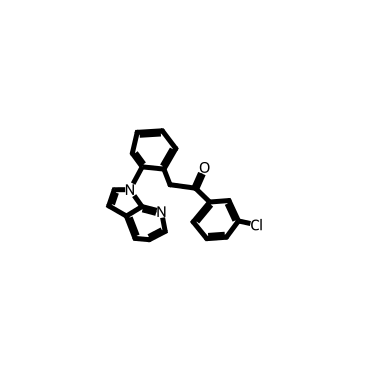 O=C(Cc1ccccc1-n1ccc2cccnc21)c1cccc(Cl)c1